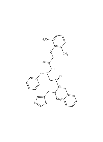 Cc1cccc(C)c1OCC(=O)N[C@@H](Cc1ccccc1)C[C@@H](O)[C@H](Cc1ccccc1)N(Cc1cncs1)C(=O)O